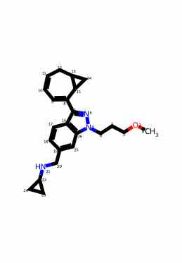 COCCCn1nc(C2=CC=CCC3CC23)c2ccc(CNC3CC3)cc21